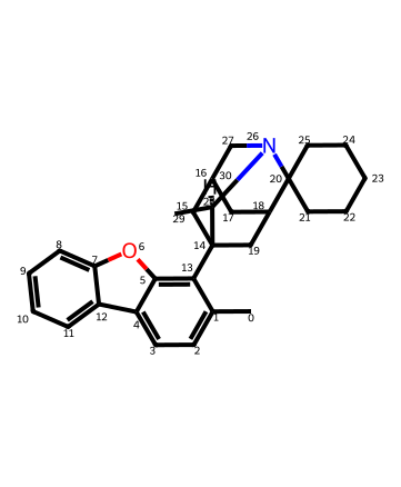 Cc1ccc2c(oc3ccccc32)c1C12CC3CC(C1)C1(CCCCC1)N(C3)[C@@H]2C